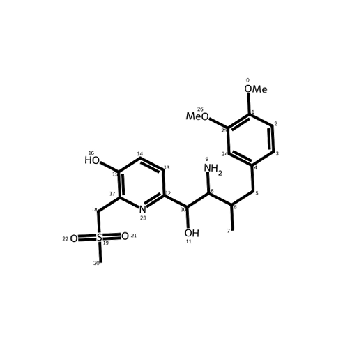 COc1ccc(CC(C)C(N)C(O)c2ccc(O)c(CS(C)(=O)=O)n2)cc1OC